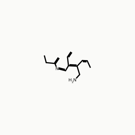 C=CC(/C=N\C(=C)CC)=C(\C=C/C)CN